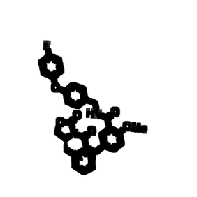 CC[C@H](Cc1ccc(OC)c(C(=O)NCc2ccc(Oc3ccc(F)cc3)cc2)c1)C(=O)N1C(=O)OC[C@H]1Cc1ccccc1